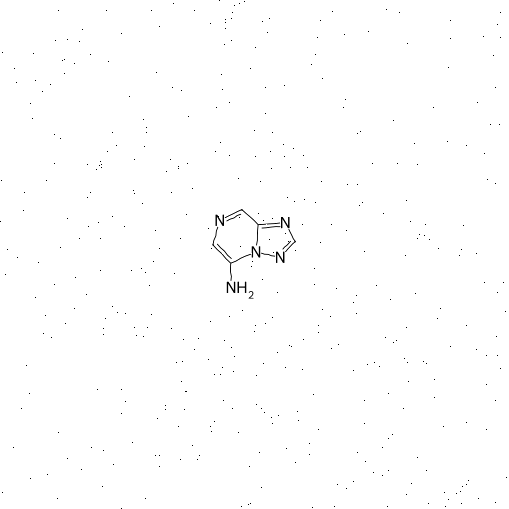 Nc1cncc2ncnn12